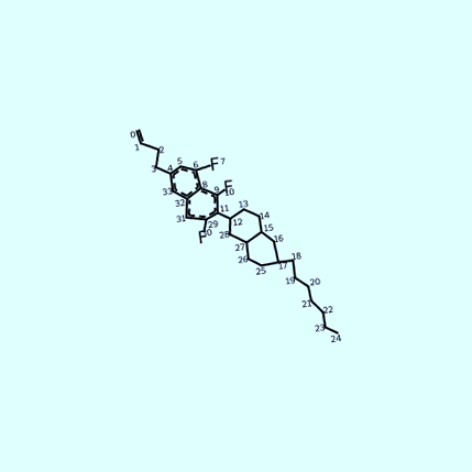 C=CCCc1cc(F)c2c(F)c(C3CCC4CC(CCCCCCC)CCC4C3)c(F)cc2c1